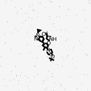 Cc1cc(-c2cc(O[C@H](C)[C@H]3CNC(=O)C3)c3c(c2)ncn3C2CC2)ccc1N1CCN(OC(C)(C)C)CC1